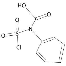 O=C(O)N(c1ccccc1)S(=O)(=O)Cl